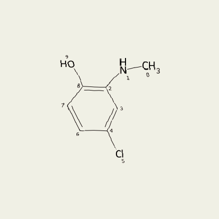 CNc1cc(Cl)ccc1O